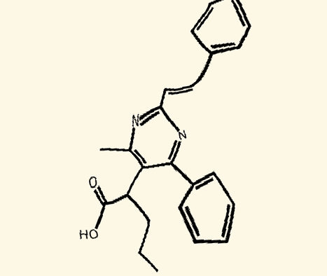 CCCC(C(=O)O)c1c(C)nc(C=Cc2ccccc2)nc1-c1ccccc1